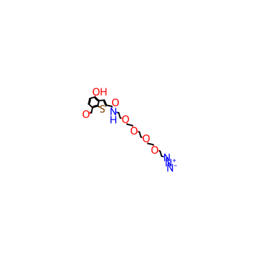 [N-]=[N+]=NCCOCCOCCOCCOCCNC(=O)c1cc2c(O)ccc(C=O)c2s1